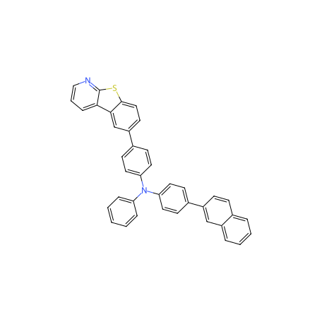 c1ccc(N(c2ccc(-c3ccc4ccccc4c3)cc2)c2ccc(-c3ccc4sc5ncccc5c4c3)cc2)cc1